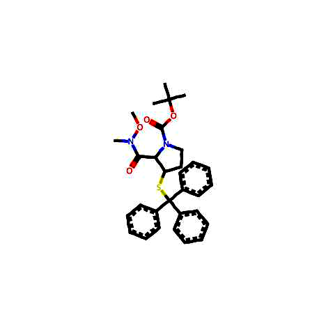 CON(C)C(=O)C1C(SC(c2ccccc2)(c2ccccc2)c2ccccc2)CCN1C(=O)OC(C)(C)C